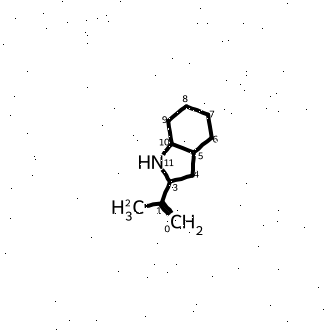 C=C(C)C1CC2CCCCC2N1